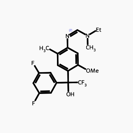 CCN(C)/C=N\c1cc(OC)c(C(O)(c2cc(F)cc(F)c2)C(F)(F)F)cc1C